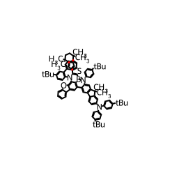 CC(C)(C)c1ccc(N2B3c4sc5cc6c(cc5c4N(c4ccc(C(C)(C)C)cc4-c4ccccc4)c4c3c(cc3c4oc4ccccc43)-c3cc4c(cc32)C(C)(C)c2cc(N(c3ccc(C(C)(C)C)cc3)c3ccc(C(C)(C)C)cc3)ccc2-4)C(C)(C)CCC6(C)C)cc1